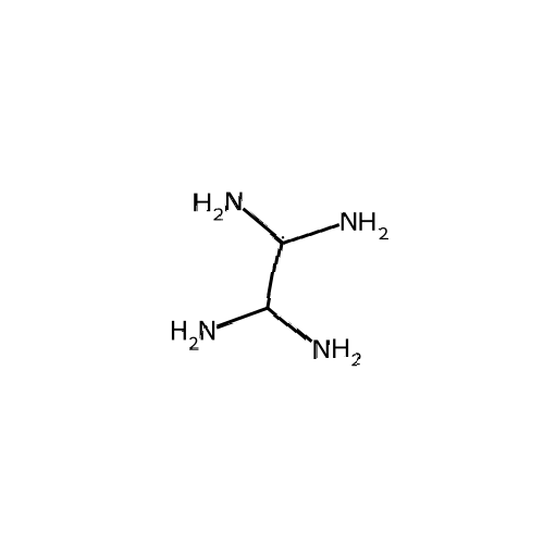 N[C](N)C(N)N